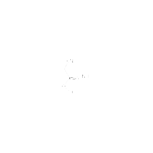 CCOC(=O)CC#N.N